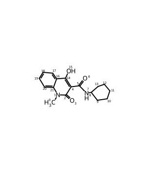 Cn1c(=O)c(C(=O)NC2CCCCC2)c(O)c2ccccc21